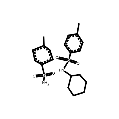 Cc1ccc(S(=O)(=O)NC2CCCCC2)cc1.Cc1ccc(S(N)(=O)=O)cc1